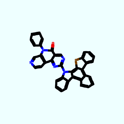 O=c1c2cnc(-n3c4ccccc4c4c5ccccc5c5c6ccccc6sc5c43)nc2c2ccncc2n1-c1ccccc1